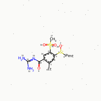 CCCC(C)[S+]([O-])c1cc(CC)c(C(=O)N=C(N)N)cc1S(C)(=O)=O